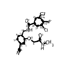 CNC(=O)COc1cc(C#N)ccc1CNC(=O)c1cc(Cl)c(F)c(Cl)c1